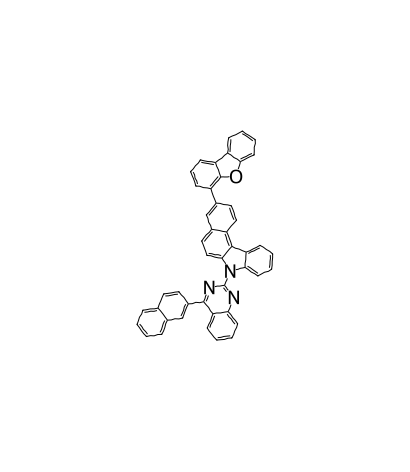 c1ccc2cc(-c3nc(-n4c5ccccc5c5c6ccc(-c7cccc8c7oc7ccccc78)cc6ccc54)nc4ccccc34)ccc2c1